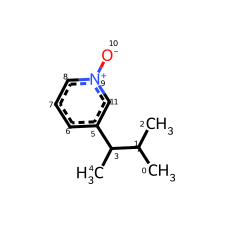 C[C](C)C(C)c1ccc[n+]([O-])c1